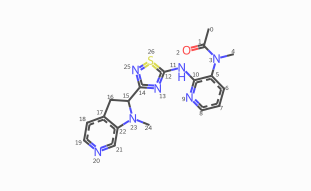 CC(=O)N(C)c1cccnc1Nc1nc(C2Cc3ccncc3N2C)ns1